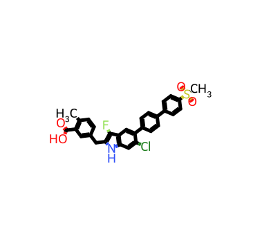 Cc1ccc(Cc2[nH]c3cc(Cl)c(-c4ccc(-c5ccc(S(C)(=O)=O)cc5)cc4)cc3c2F)cc1C(=O)O